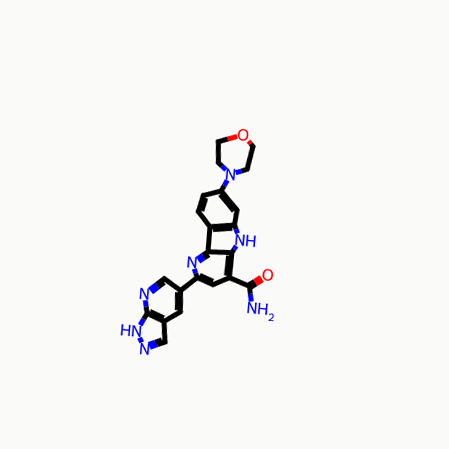 NC(=O)c1cc(-c2cnc3[nH]ncc3c2)nc2c1[nH]c1cc(N3CCOCC3)ccc12